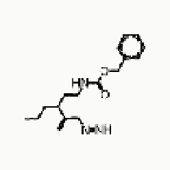 C=C(CN=N)C(CCC)CCNC(=O)OCc1ccccc1